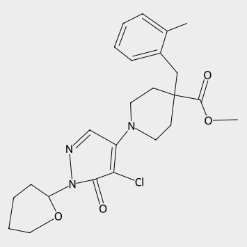 COC(=O)C1(Cc2ccccc2C)CCN(c2cnn(C3CCCCO3)c(=O)c2Cl)CC1